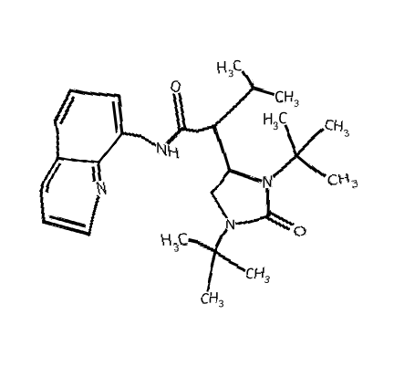 CC(C)C(C(=O)Nc1cccc2cccnc12)C1CN(C(C)(C)C)C(=O)N1C(C)(C)C